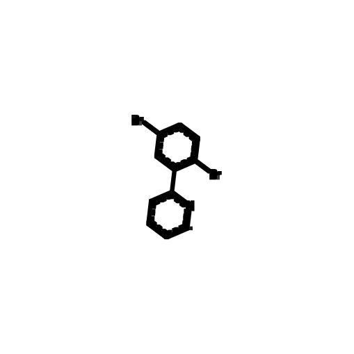 Brc1ccc(Br)c(-c2ccc[c]n2)c1